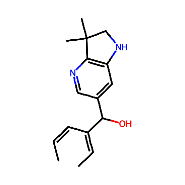 C/C=C\C(=C/C)C(O)c1cnc2c(c1)NCC2(C)C